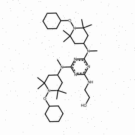 CN(c1nc(NCCO)nc(N(C)C2CC(C)(C)N(OC3CCCCC3)C(C)(C)C2)n1)C1CC(C)(C)N(OC2CCCCC2)C(C)(C)C1